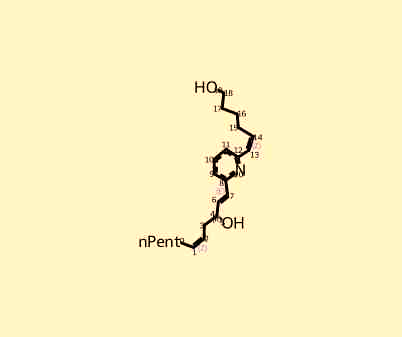 CCCCC/C=C\C[C@@H](O)/C=C/c1cccc(/C=C\CCCCO)n1